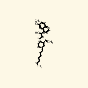 C=C[C@H]1CN(CCCCCCC)CC[C@H]1CCC(O)c1ccnc2ccc(OC)cc12